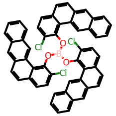 Clc1ccc2ccc3cc4ccccc4cc3c2c1OB(Oc1c(Cl)ccc2ccc3cc4ccccc4cc3c12)Oc1c(Cl)ccc2ccc3cc4ccccc4cc3c12